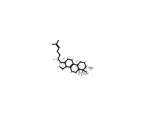 CC(C)=CCC[C@@H](C)[C@H]1CCC2C3=C(CC[C@@]21C)[C@@]1(C)CC[C@H](O)[C@@](C)(C(=O)O)[C@@H]1CC3